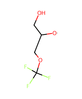 [O]C(CO)COC(F)(F)F